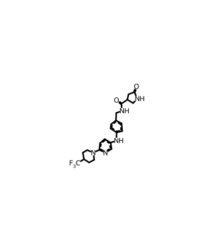 O=C1CC(C(=O)NCc2ccc(Nc3ccc(N4CCC(C(F)(F)F)CC4)nc3)cc2)CN1